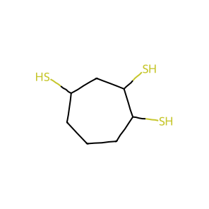 SC1CCCC(S)C(S)C1